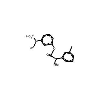 CCCCN(C(=O)Oc1cccc(N(C(=O)O)C(C)C)c1)c1cccc(C)c1